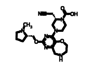 CN1CCC[C@H]1COc1nc2c(c(N3CCN(C(=O)O)[C@@H](CC#N)C3)n1)OCCNC2